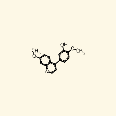 COc1ccc2c(-c3ccc(OC)c(O)c3)ccnc2c1